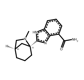 CN1C[C@@H]2CCC[C@@]1(c1nc3c(C(N)=O)cccc3[nH]1)C2